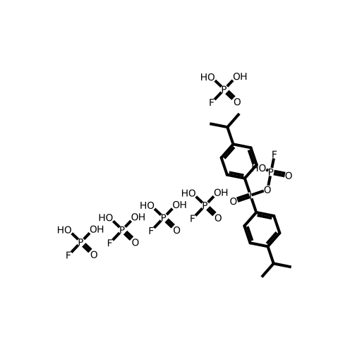 CC(C)c1ccc(I(=O)(OP(=O)(O)F)c2ccc(C(C)C)cc2)cc1.O=P(O)(O)F.O=P(O)(O)F.O=P(O)(O)F.O=P(O)(O)F.O=P(O)(O)F